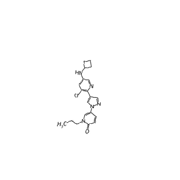 CCCn1cc(-n2cc(-c3ncc(NC4CCC4)cc3Cl)cn2)ccc1=O